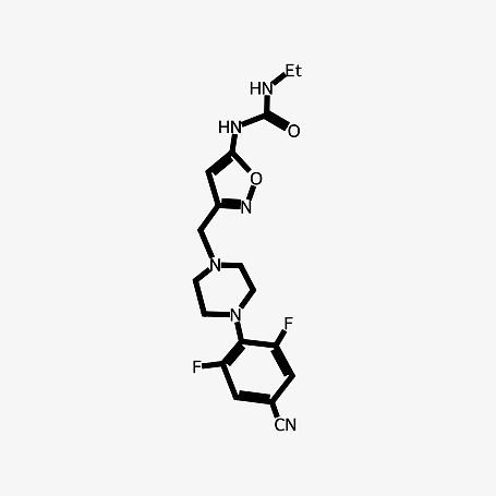 CCNC(=O)Nc1cc(CN2CCN(c3c(F)cc(C#N)cc3F)CC2)no1